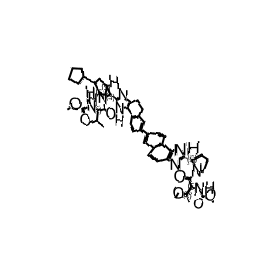 COC(=O)N[C@H](C(=O)N1[C@H](c2nc3c([nH]2)-c2ccc(-c4ccc5c(ccc6nc([C@@H]7CCCN7C(=O)[C@@H](NC(=O)OC)[C@@H](C)OC)[nH]c65)c4)cc2CC3)[C@H]2CC(C3CCCC3)[C@@H]1C2)C(C)C